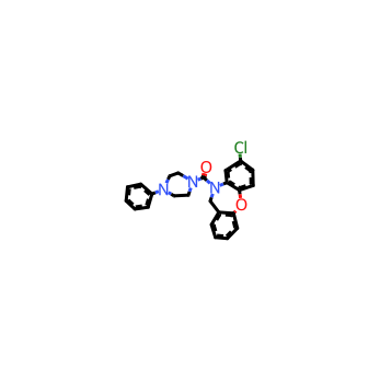 O=C(N1CCN(c2ccccc2)CC1)N1Cc2ccccc2Oc2ccc(Cl)cc21